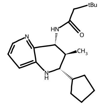 C[C@@H]1[C@@H](NC(=O)CC(C)(C)C)c2ncccc2N[C@H]1C1CCCC1